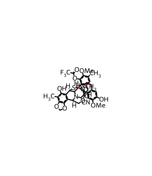 COc1cc2c(cc1O)CCN[C@]21CS[C@@H]2c3c(O)c(C)c4c(c3[C@H](COC1=O)N1C2[C@H]2c3c(cc(C)c(OC)c3OC(=O)C(F)(F)F)C[C@@H]([C@@H]1C#N)N2C)OCO4